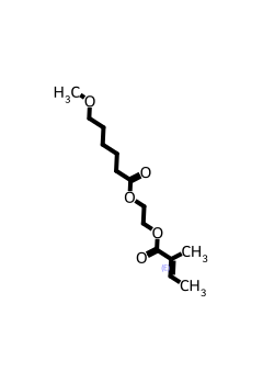 C/C=C(\C)C(=O)OCCOC(=O)CCCCCOC